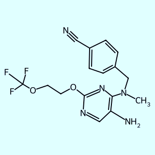 CN(Cc1ccc(C#N)cc1)c1nc(OCCOC(F)(F)F)ncc1N